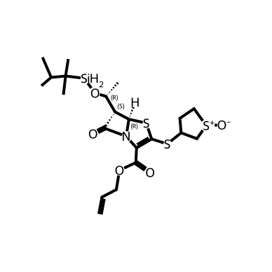 C=CCOC(=O)C1=C(SC2CC[S+]([O-])C2)S[C@@H]2[C@@H]([C@@H](C)O[SiH2]C(C)(C)C(C)C)C(=O)N12